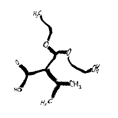 CCOC(OCC)C(C(=O)O)=C(C)C